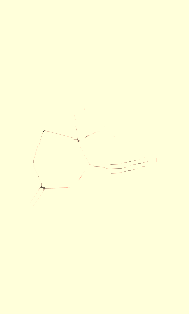 C#CC1OC(=O)CCC1(C)C